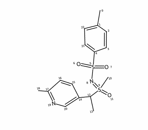 Cc1ccc(S(=O)(=O)N=S(C)(=O)C(C)c2ccc(C)nc2)cc1